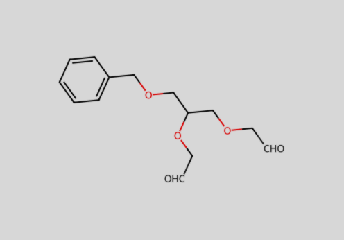 O=CCOCC(COCc1ccccc1)OCC=O